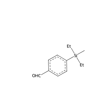 CC[Si](C)(CC)c1ccc(C=O)cc1